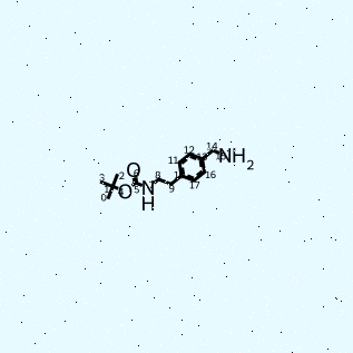 CC(C)(C)OC(=O)NCCc1ccc(CN)cc1